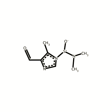 Cc1c(C=O)ncn1[S+]([O-])N(C)C